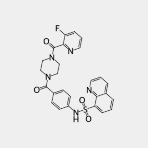 O=C(c1ccc(NS(=O)(=O)c2cccc3cccnc23)cc1)N1CCN(C(=O)c2ncccc2F)CC1